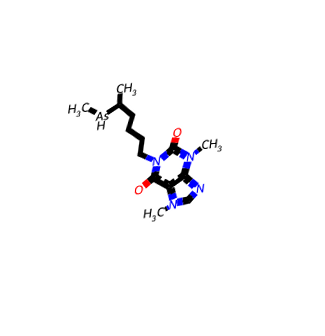 C[AsH]C(C)CCCCn1c(=O)c2c(ncn2C)n(C)c1=O